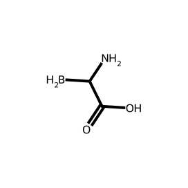 BC(N)C(=O)O